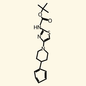 CC(C)(C)OC(=O)Nc1nc(N2CCC(c3ccccc3)CC2)cs1